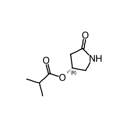 CC(C)C(=O)O[C@H]1CNC(=O)C1